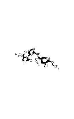 C[C@H](Nc1nccc(N2C(=O)OCC2[C@@H](C)O)n1)c1cnc(OCC(F)(F)F)c(Cl)c1